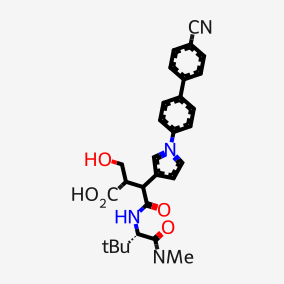 CNC(=O)[C@@H](NC(=O)C(c1ccn(-c2ccc(-c3ccc(C#N)cc3)cc2)c1)C(CO)C(=O)O)C(C)(C)C